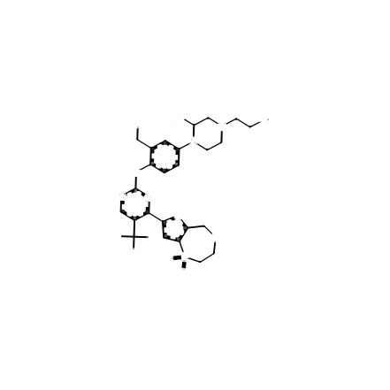 CCc1cc(N2CCN(CCO)CC2C)ccc1Nc1ncc(C(F)(F)F)c(-c2cc3c(s2)CSCCS3(=O)=O)n1